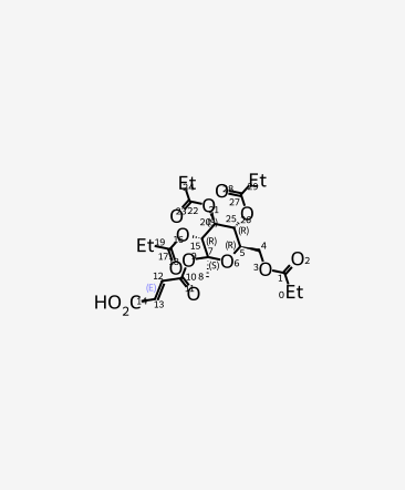 CCC(=O)OC[C@H]1O[C@@](C)(OC(=O)/C=C/C(=O)O)[C@H](OC(=O)CC)[C@@H](OC(=O)CC)[C@@H]1OC(=O)CC